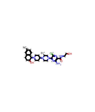 CC[C@H]1CN(c2nc(N)c(C(=O)NCCO)nc2Cl)CCN1C1CCN(C2c3ccc(C#N)cc3CCC2O)CC1